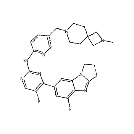 CN1CC2(CCN(Cc3ccc(Nc4ncc(F)c(-c5cc(F)c6nc7n(c6c5)CCC7)n4)nc3)CC2)C1